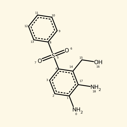 Nc1ccc(S(=O)(=O)c2ccccc2)c(CO)c1N